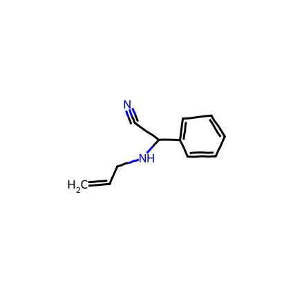 C=CCNC(C#N)c1ccccc1